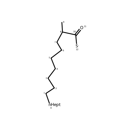 CCCCCCCCCCCCCCC(C)C(=O)[S]